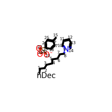 CCCCCCCCCCCCCCCCCC[n+]1ccccc1.Cc1ccc(S(=O)(=O)[O-])cc1